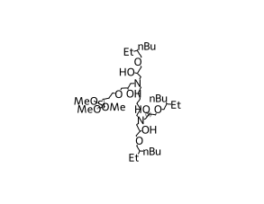 CCCCC(CC)COCC(O)CN(CCCCCCN(CC(O)COCC(CC)CCCC)C[C@H](O)COCC(CC)CCCC)CC(O)COCCC[Si](OC)(OC)OC